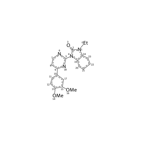 CCn1c(=O)n(-c2nccc(-c3ccc(OC)c(OC)c3)n2)c2ccccc21